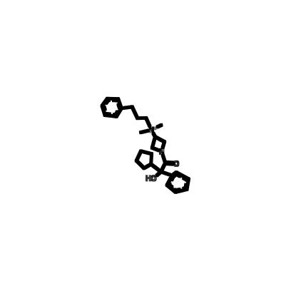 C[N+](C)(CCCc1ccccc1)C1CN(C(=O)C(O)(c2ccccc2)C2CCCC2)C1